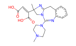 CN1CCN(C2=Nc3ccccc3CC3=NC(C)(C(=CC(=O)O)C(=O)O)CN32)CC1